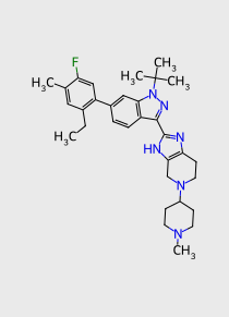 CCc1cc(C)c(F)cc1-c1ccc2c(-c3nc4c([nH]3)CN(C3CCN(C)CC3)CC4)nn(C(C)(C)C)c2c1